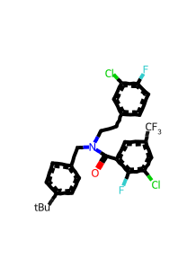 CC(C)(C)c1ccc(CN(CCc2ccc(F)c(Cl)c2)C(=O)c2cc(C(F)(F)F)cc(Cl)c2F)cc1